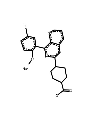 COc1ccc(F)cc1-c1nc(C2CCC(C(=O)[O-])CC2)cc2cccnc12.[Na+]